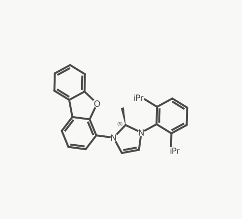 CC(C)c1cccc(C(C)C)c1N1C=CN(c2cccc3c2oc2ccccc23)[C@H]1C